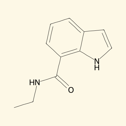 CCNC(=O)c1cccc2cc[nH]c12